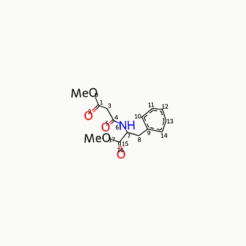 COC(=O)CC(=O)NC(Cc1ccccc1)C(=O)OC